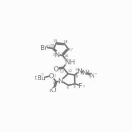 CC(C)(C)OC(=O)N1CC(F)C(N=[N+]=[N-])C1C(=O)Nc1cccc(Br)n1